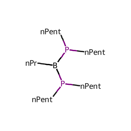 CCCCCP(CCCCC)B(CCC)P(CCCCC)CCCCC